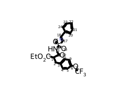 CCOC(=O)C(Cc1ccc(OC(F)(F)F)cc1)C(=O)NS(=O)(=O)/C=C/c1ccccc1